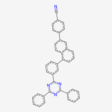 N#Cc1ccc(-c2ccc3c(-c4cccc(-c5nc(-c6ccccc6)nc(-c6ccccc6)n5)c4)cccc3c2)cc1